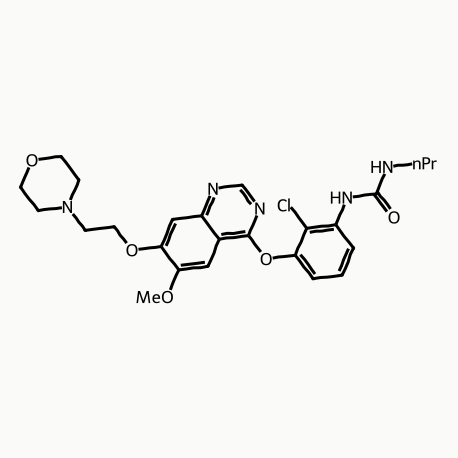 CCCNC(=O)Nc1cccc(Oc2ncnc3cc(OCCN4CCOCC4)c(OC)cc23)c1Cl